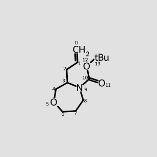 C=CCC1COCCCN1C(=O)OC(C)(C)C